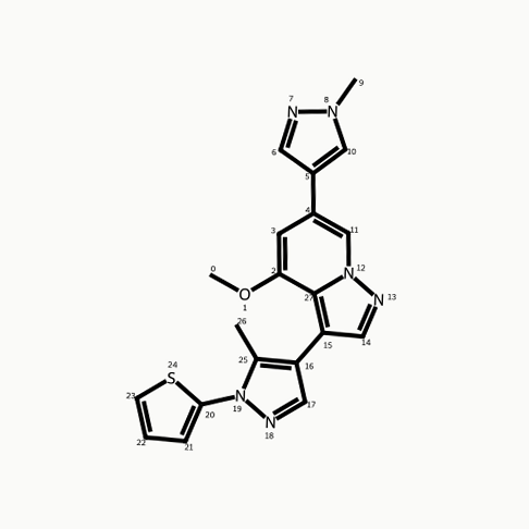 COc1cc(-c2cnn(C)c2)cn2ncc(-c3cnn(-c4cccs4)c3C)c12